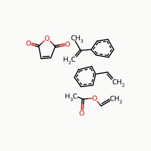 C=C(C)c1ccccc1.C=COC(C)=O.C=Cc1ccccc1.O=C1C=CC(=O)O1